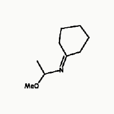 COC(C)N=C1CCCCC1